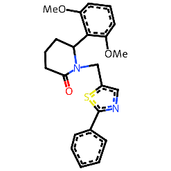 COc1cccc(OC)c1C1CCCC(=O)N1Cc1cnc(-c2ccccc2)s1